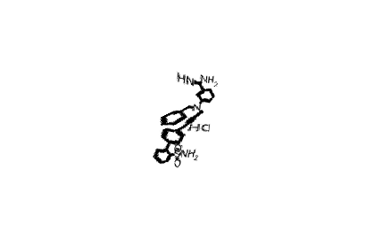 Cl.N=C(N)c1cccc(N(CC#Cc2ccc(-c3ccccc3S(N)(=O)=O)cc2)Cc2ccccc2)c1